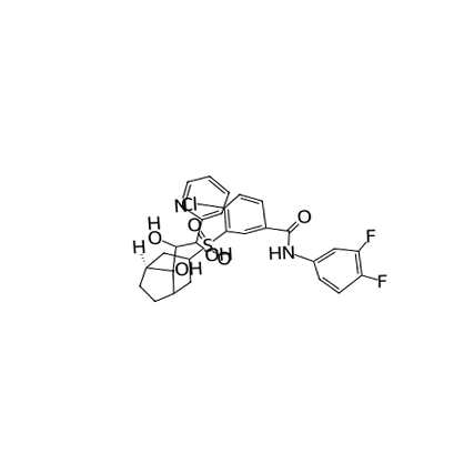 O=C(Nc1ccc(F)c(F)c1)c1ccc(Cl)c(S(=O)(=O)C2CC3CC[C@@H](C2)[C@@]3(O)C(O)C(O)c2ccccn2)c1